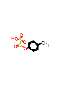 Cc1ccc(OS(=O)S(=O)(=O)O)cc1